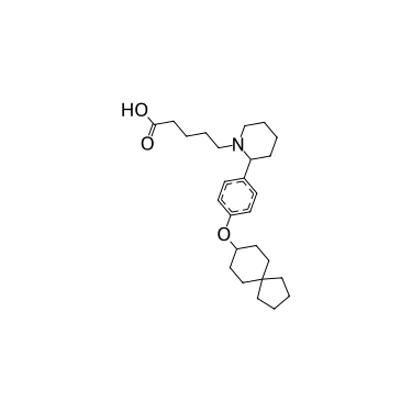 O=C(O)CCCCN1CCCCC1c1ccc(OC2CCC3(CCCC3)CC2)cc1